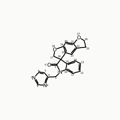 O=C1N(Cc2ccncn2)c2ccccc2C12COc1cc3c(cc12)CCO3